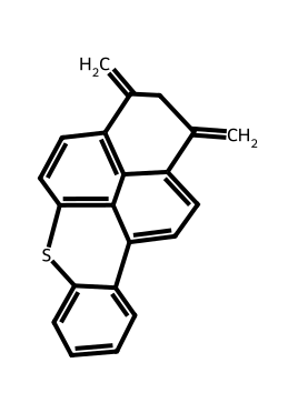 C=C1CC(=C)c2ccc3c4c(ccc1c24)Sc1ccccc1-3